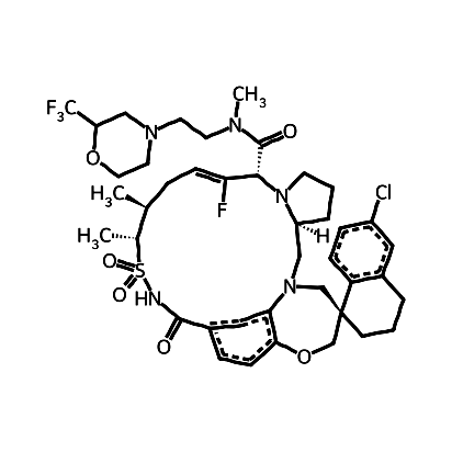 C[C@@H]1[C@@H](C)C/C=C(\F)[C@H](C(=O)N(C)CCN2CCOC(C(F)(F)F)C2)N2CCC[C@H]2CN2C[C@@]3(CCCc4cc(Cl)ccc43)COc3ccc(cc32)C(=O)NS1(=O)=O